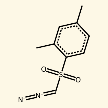 Cc1ccc(S(=O)(=O)C=[N+]=[N-])c(C)c1